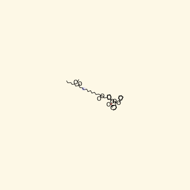 CCCCCCC(C/C=C/CCCCCCCC(=O)OCc1cccc(OC(=O)c2ccccc2C(=O)Oc2ccccc2)c1)OC(C)=O